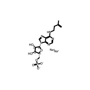 C=C(C)CCNc1ncnc2c1ncn2[C@@H]1O[C@H](COP(=O)([O-])[O-])[C@@H](O)[C@H]1O.[Na+].[Na+]